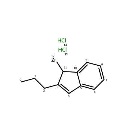 CCCC1=Cc2ccccc2[CH]1[Zr].Cl.Cl